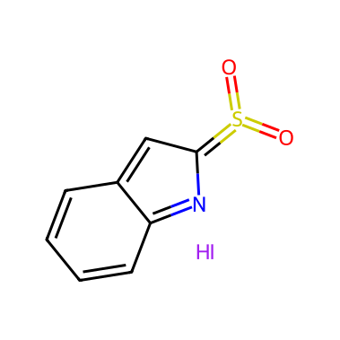 I.O=S(=O)=C1C=c2ccccc2=N1